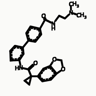 CN(C)CCNC(=O)c1ccc(-c2cccc(NC(=O)C3(c4ccc5c(c4)OCO5)CC3)c2)cc1